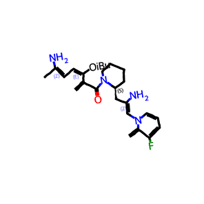 C=C(C(=O)N1CCCC[C@H]1C/C(N)=C/N1C=CC=C(F)C1=C)/C(=C\C=C(\C)N)OCC(C)C